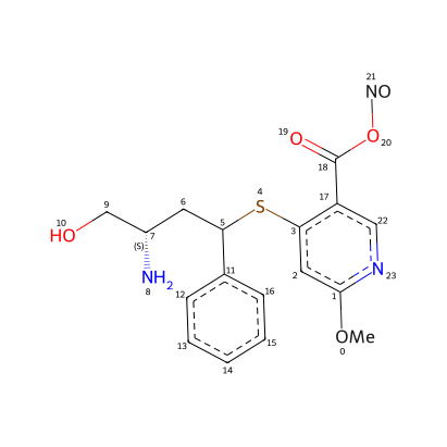 COc1cc(SC(C[C@H](N)CO)c2ccccc2)c(C(=O)ON=O)cn1